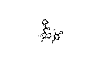 O=C(Cc1[nH]c(=S)n2c1C[C@@H](c1c(F)ccc(Cl)c1F)C2)N1CCCC1